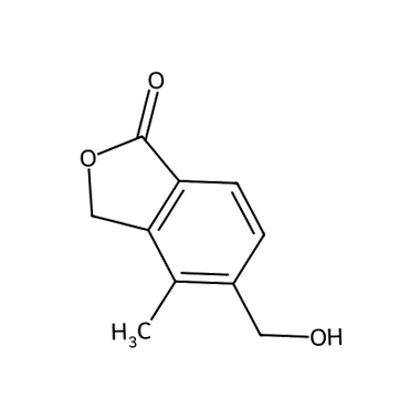 Cc1c(CO)ccc2c1COC2=O